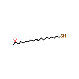 CC(=O)CCCCCCC/C=C/CCCCCCCCS